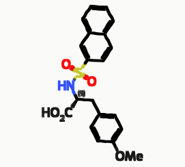 COc1ccc(C[C@H](NS(=O)(=O)c2ccc3ccccc3c2)C(=O)O)cc1